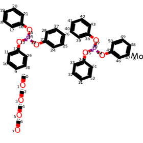 [C]=O.[C]=O.[C]=O.[C]=O.[Mo].c1ccc(OP(Oc2ccccc2)Oc2ccccc2)cc1.c1ccc(OP(Oc2ccccc2)Oc2ccccc2)cc1